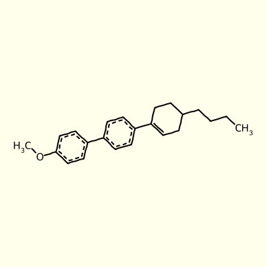 CCCCC1CC=C(c2ccc(-c3ccc(OC)cc3)cc2)CC1